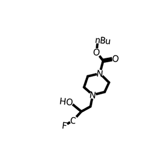 CCCCOC(=O)N1CCN(CC(O)CF)CC1